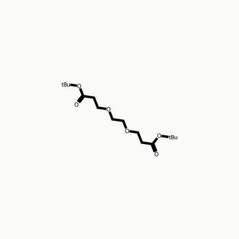 CC(C)(C)OC(=O)CCOCCOCCC(=O)OC(C)(C)C